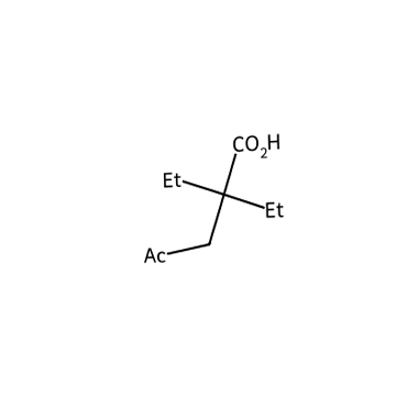 CCC(CC)(CC(C)=O)C(=O)O